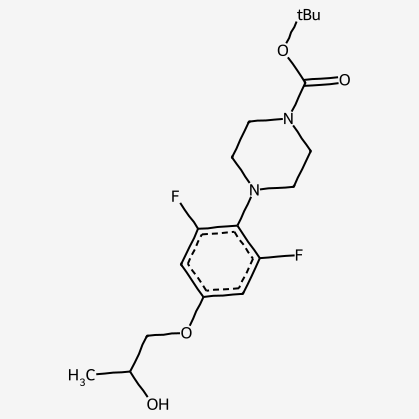 CC(O)COc1cc(F)c(N2CCN(C(=O)OC(C)(C)C)CC2)c(F)c1